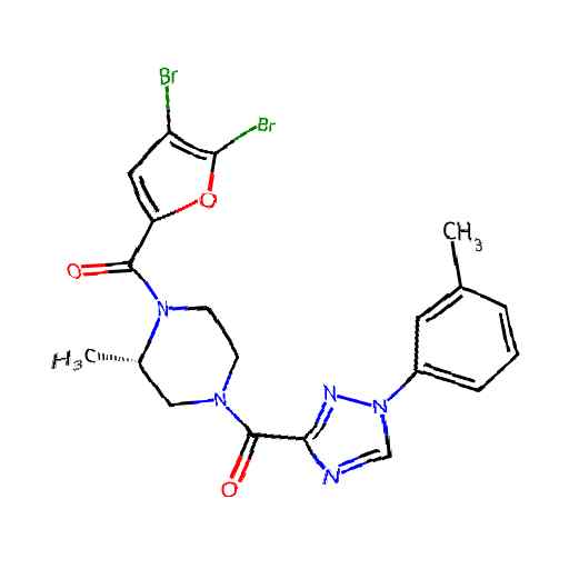 Cc1cccc(-n2cnc(C(=O)N3CCN(C(=O)c4cc(Br)c(Br)o4)[C@@H](C)C3)n2)c1